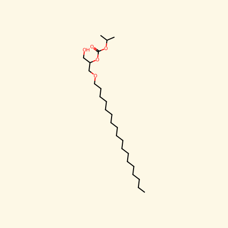 CCCCCCCCCCCCCCCCCCOCC(CO)OC(=O)OC(C)C